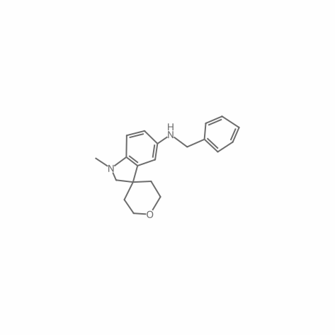 CN1CC2(CCOCC2)c2cc(NCc3ccccc3)ccc21